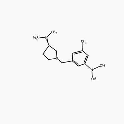 CN(C)[C@@H]1CCN(Cc2cc(N(O)O)cc(C(F)(F)F)c2)C1